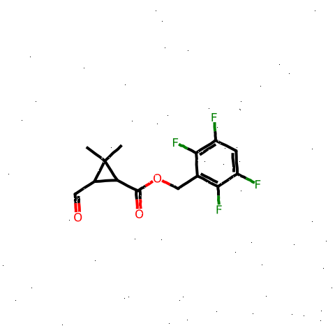 CC1(C)C(C=O)C1C(=O)OCc1c(F)c(F)cc(F)c1F